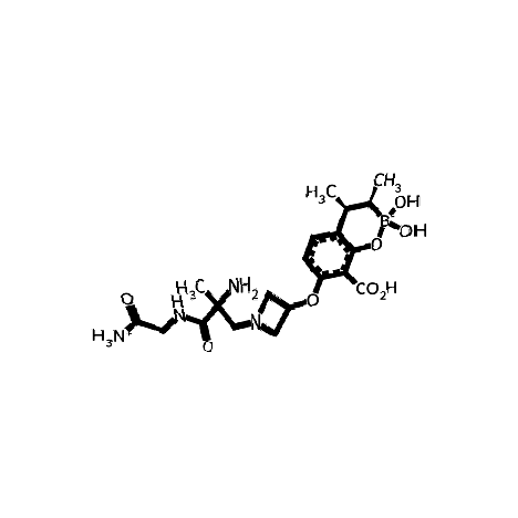 C[C@@H]1c2ccc(OC3CN(CC(C)(N)C(=O)NCC([NH3+])=O)C3)c(C(=O)O)c2O[B-](O)(O)[C@@H]1C